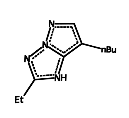 CCCCc1cnn2nc(CC)[nH]c12